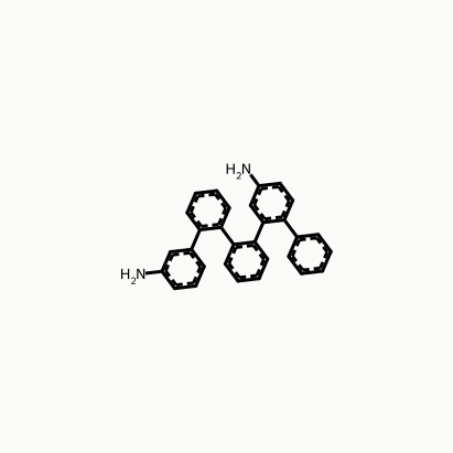 Nc1cccc(-c2ccccc2-c2ccccc2-c2cc(N)ccc2-c2ccccc2)c1